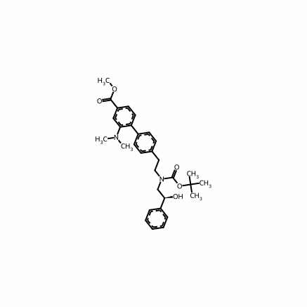 COC(=O)c1ccc(-c2ccc(CCN(C[C@@H](O)c3ccccc3)C(=O)OC(C)(C)C)cc2)c(N(C)C)c1